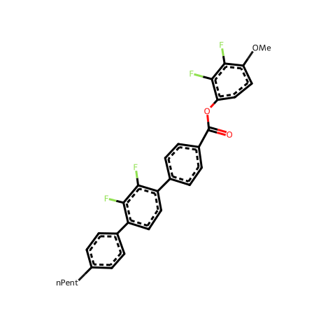 CCCCCc1ccc(-c2ccc(-c3ccc(C(=O)Oc4ccc(OC)c(F)c4F)cc3)c(F)c2F)cc1